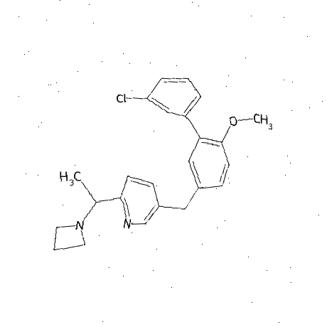 COc1ccc(Cc2ccc(C(C)N3CCC3)nc2)cc1-c1cccc(Cl)c1